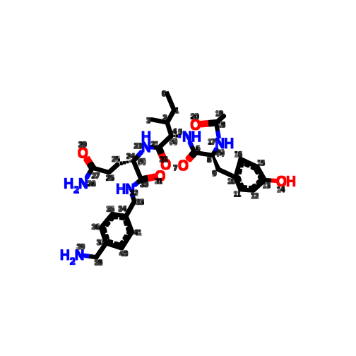 CCC(C)[C@H](NC(=O)[C@H](Cc1ccc(O)cc1)NC(C)=O)C(=O)N[C@@H](CCC(N)=O)C(=O)NCc1ccc(CN)cc1